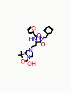 CC(C)(C)[C@H]1CN(CCC(NC(=O)c2ccco2)C(=O)NCc2ccccc2)CCN1C(=O)O